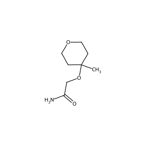 CC1(OCC(N)=O)CCOCC1